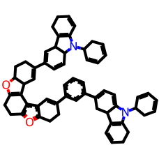 C1=CCC(N2C3=CC=C(c4cccc(C5=Cc6c(oc7c6C6=C(CC7)OC7CCC(C8=CC9C%10=C(C=CCC%10)N(C%10C=CC=CC%10)C9C=C8)=CC67)CC5)c4)CC3C3=C2CCC=C3)C=C1